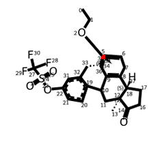 CCOC1=CC2=CCC3=C4C(C[C@]5(C)C(=O)CC[C@@H]35)c3ccc(OS(=O)(=O)C(F)(F)F)cc3C[C@]24CC1